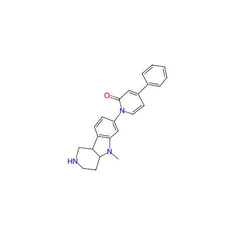 CN1c2cc(-n3ccc(-c4ccccc4)cc3=O)ccc2C2CNCCC21